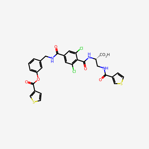 O=C(NCc1cccc(OC(=O)c2ccsc2)c1)c1cc(Cl)c(C(=O)N[C@@H](CNC(=O)c2ccsc2)C(=O)O)c(Cl)c1